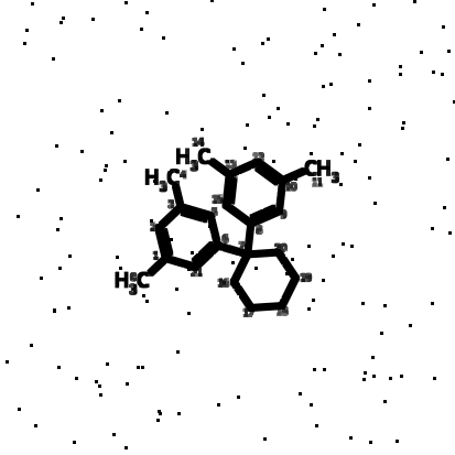 Cc1cc(C)cc(C2(c3cc(C)cc(C)c3)CCCCC2)c1